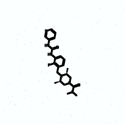 C[C@@H]1CN(C(=O)N(C)C)C[C@H](C)N1Cc1cccc(NC(=O)Nc2cccnc2)c1F